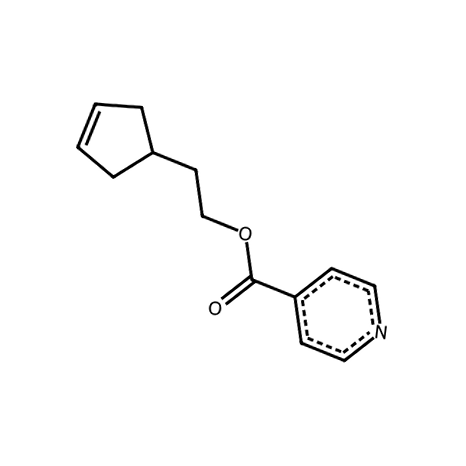 O=C(OCCC1CC=CC1)c1ccncc1